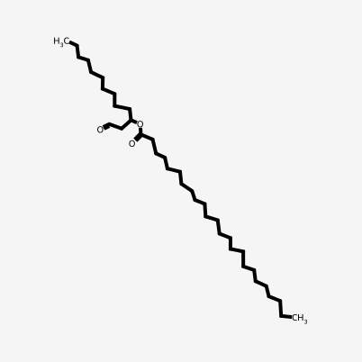 CCCCCCCCCCCCCCCCCCCCCCCC(=O)OC(CC=O)CCCCCCCCCC